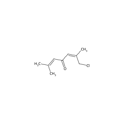 CC(C)=CC(=O)C=C(C)CCl